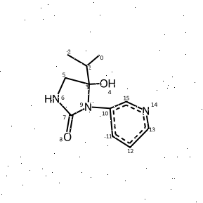 CC(C)C1(O)CNC(=O)N1c1cccnc1